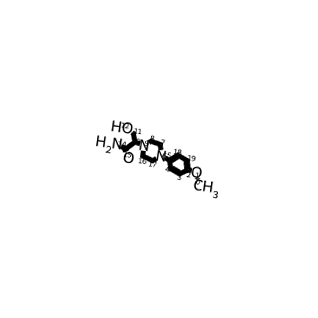 COc1ccc(N2CCN(C(CO)C(N)=O)CC2)cc1